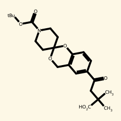 CC(C)(C)OC(=O)N1CCC2(CC1)OCc1cc(C(=O)CC(C)(C)C(=O)O)ccc1O2